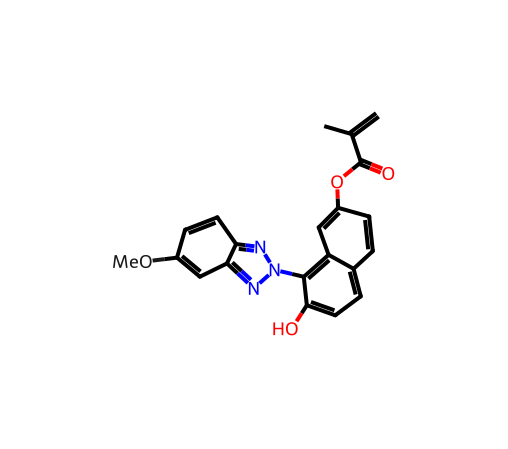 C=C(C)C(=O)Oc1ccc2ccc(O)c(-n3nc4ccc(OC)cc4n3)c2c1